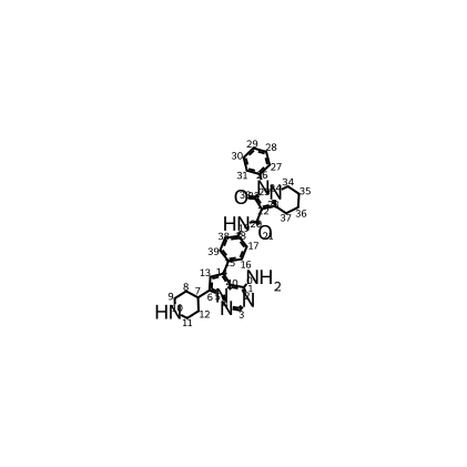 Nc1ncnn2c(C3CCNCC3)cc(-c3ccc(NC(=O)c4c5n(n(-c6ccccc6)c4=O)CCCC5)cc3)c12